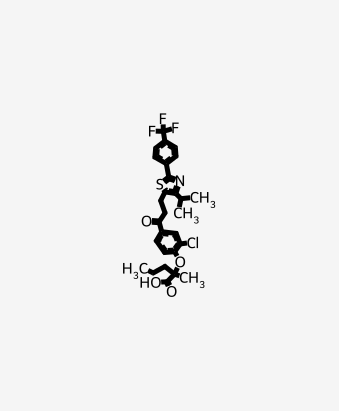 CCCC(C)(Oc1ccc(C(=O)CCc2sc(-c3ccc(C(F)(F)F)cc3)nc2C(C)C)cc1Cl)C(=O)O